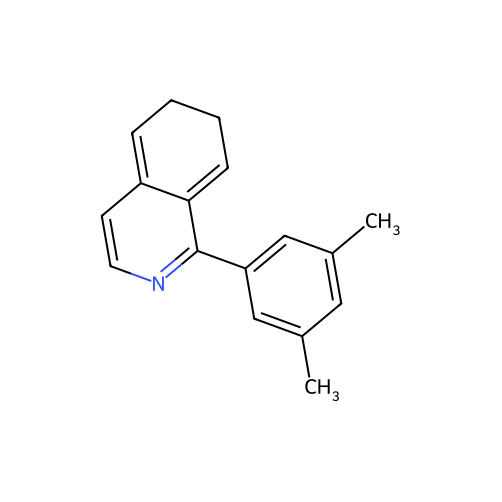 Cc1cc(C)cc(-c2nccc3c2=CCCC=3)c1